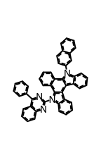 c1ccc(-c2nc(-n3c4ccccc4c4c5c6ccccc6n(-c6ccc7ccccc7c6)c5c5ccccc5c43)nc3ccccc23)cc1